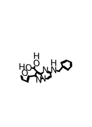 OC(O)c1c(-c2ccco2)nn2ccc(NCc3ccccc3)nc12